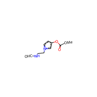 COC(=O)Oc1ccn(CCNC=O)c1